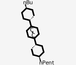 CCCCC[C@H]1CC[C@H](C23CCC([C@H]4CC[C@H](CCCC)CC4)(CC2)CC3)CC1